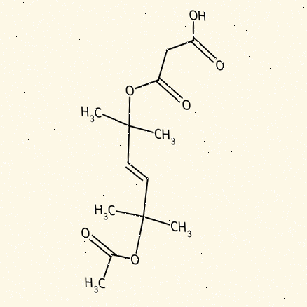 CC(=O)OC(C)(C)C=CC(C)(C)OC(=O)CC(=O)O